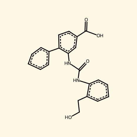 O=C(Nc1ccccc1CCO)Nc1cc(C(=O)O)ccc1-c1ccccc1